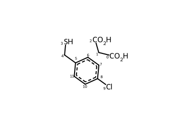 O=C(O)CC(=O)O.SCc1ccc(Cl)cc1